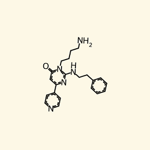 NCCCCn1c(NCCc2ccccc2)nc(-c2ccncc2)cc1=O